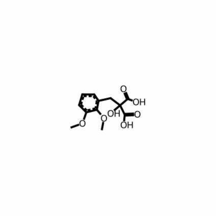 COc1cccc(CC(O)(C(=O)O)C(=O)O)c1OC